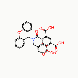 O=C(O)c1cc(C(=O)O)c(C(=O)N(Cc2ccccc2)Cc2ccccc2Oc2ccccc2)cc1C(=O)O